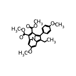 CCc1c(-c2ccc(OC)cc2)c2c(C(=O)OC)c(C(=O)OC)c3cc(OC)cc1n32